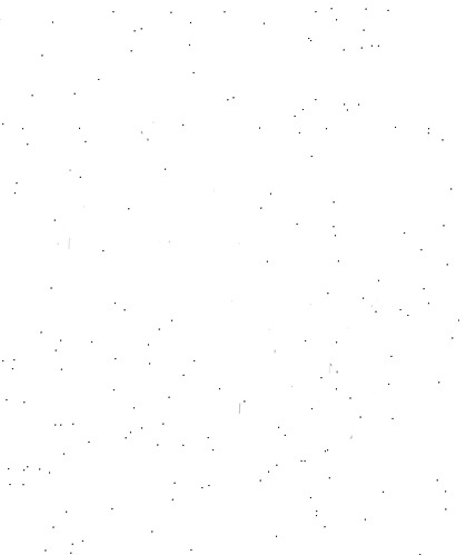 CC1(C)CCCN1C(=O)c1ccc(-c2cc3nccc(Cl)c3o2)cc1